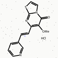 COc1c(/C=C/c2cccnc2)nc2sccn2c1=O.Cl